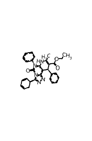 CCOC(=O)C1=C(C)Nc2c(c3nnc(C4C=CC=CC4)n3c(=O)n2-c2ccccc2)C1c1ccccc1